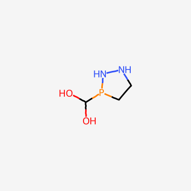 OC(O)P1CCNN1